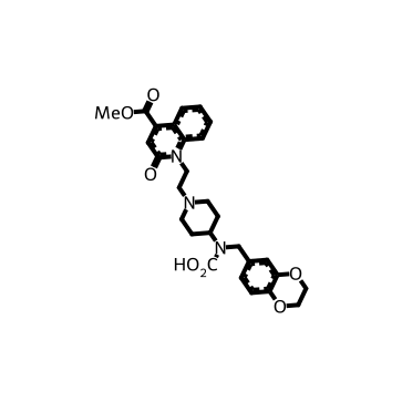 COC(=O)c1cc(=O)n(CCN2CCC(N(Cc3ccc4c(c3)OCCO4)C(=O)O)CC2)c2ccccc12